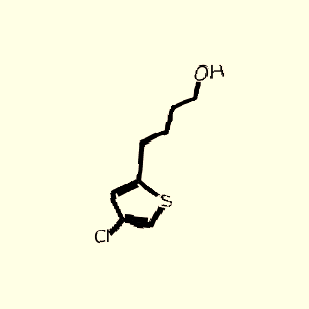 OCCCCc1cc(Cl)cs1